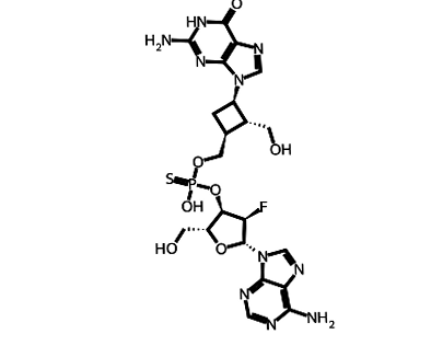 Nc1nc2c(ncn2[C@@H]2C[C@H](COP(O)(=S)O[C@H]3[C@@H](F)[C@H](n4cnc5c(N)ncnc54)O[C@@H]3CO)[C@H]2CO)c(=O)[nH]1